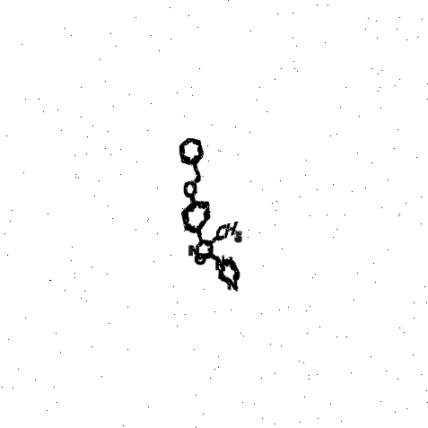 Cc1c(-c2ccc(OCc3ccccc3)cc2)noc1-n1ccnc1